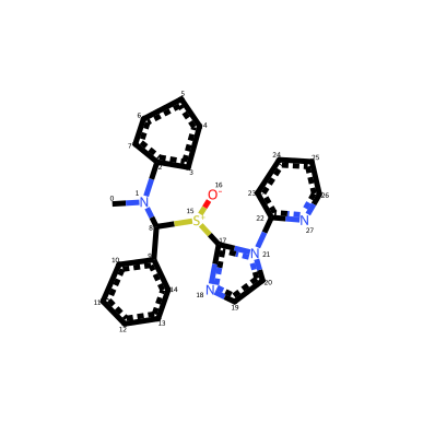 CN(c1ccccc1)C(c1ccccc1)[S+]([O-])c1nccn1-c1ccccn1